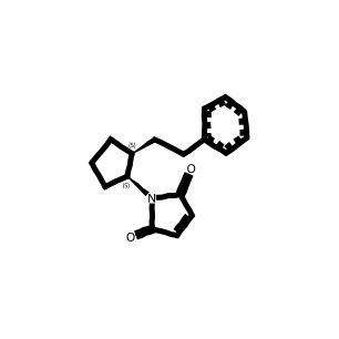 O=C1C=CC(=O)N1[C@H]1CCC[C@H]1CCc1ccccc1